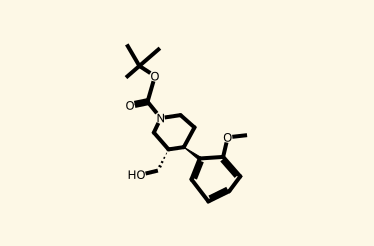 COc1ccccc1[C@@H]1CCN(C(=O)OC(C)(C)C)C[C@H]1CO